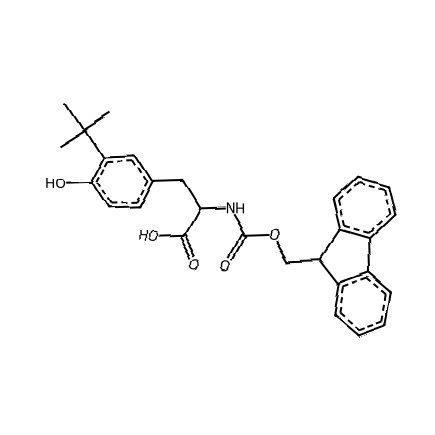 CC(C)(C)c1cc(CC(NC(=O)OCC2c3ccccc3-c3ccccc32)C(=O)O)ccc1O